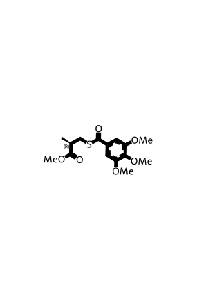 COC(=O)[C@@H](C)CSC(=O)c1cc(OC)c(OC)c(OC)c1